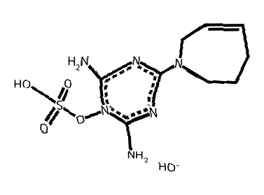 Nc1nc(N2CC=CCCC2)nc(N)[n+]1OS(=O)(=O)O.[OH-]